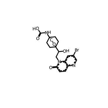 O=C(O)NC12CCC(C(O)Cn3c(=O)ccc4ncc(Br)cc43)(CC1)OC2